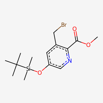 COC(=O)c1ncc(O[Si](C)(C)C(C)(C)C)cc1CBr